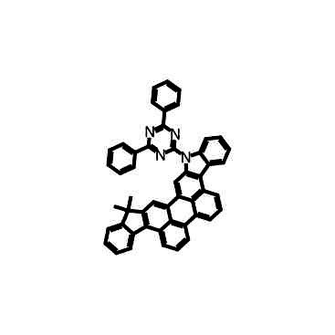 CC1(C)c2ccccc2-c2c1cc1c3cc4c(c5cccc(c6cccc2c61)c35)c1ccccc1n4-c1nc(-c2ccccc2)nc(-c2ccccc2)n1